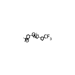 Cc1oc2cc(CC[N+]3([O-])CC=C(c4cccc(C(F)(F)F)c4)CC3)ccc2c1C